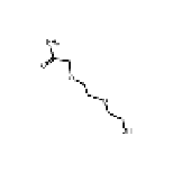 NC(=O)COCCOCCO